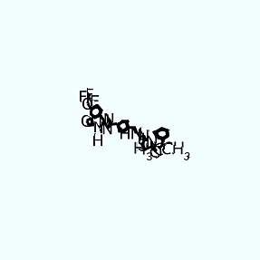 CC(C)c1ccccc1N1C(=O)CS/C1=N\NCc1ccc(-c2nc(NC3COC3)n(-c3ccc(OC(F)(F)F)cc3)n2)cc1